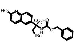 CC(C)(C)C[C@](NC(=O)OCc1ccccc1)(C(=O)O)c1ccc2nc(O)ccc2c1